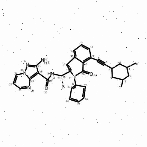 CC1CC(C)CC(C#Cc2cccc3cc([C@H](C)NC(=O)c4c(N)nn5cccnc45)n(-c4ccccc4)c(=O)c23)C1